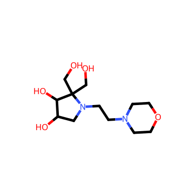 OCC1(CO)C(O)C(O)CN1CCN1CCOCC1